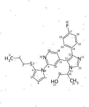 CCCSc1cccn1-c1cc(-c2c(-c3ccc(F)cc3)ncn2C(C)CO)ccn1